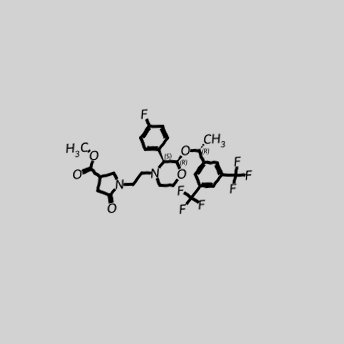 COC(=O)C1CC(=O)N(CCN2CCO[C@H](O[C@H](C)c3cc(C(F)(F)F)cc(C(F)(F)F)c3)[C@@H]2c2ccc(F)cc2)C1